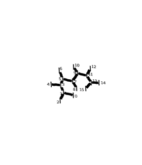 II(I)I(I)I(I)I(I)I(I)I(I)I(I)I